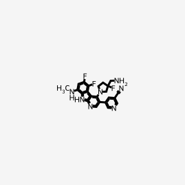 CNc1cc(F)c(F)c2c1[nH]c1ncc(-c3cncc(C#N)c3)c(N3CCC(F)(CN)C3)c12